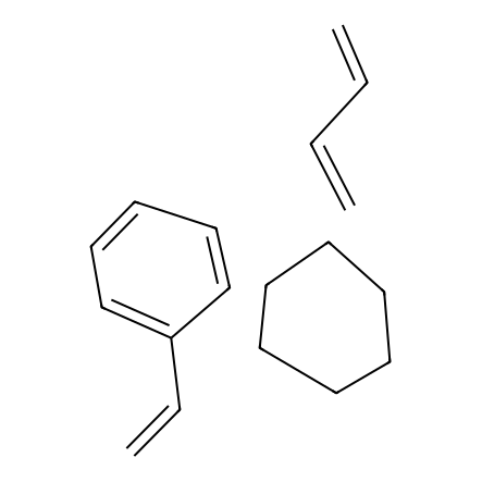 C1CCCCC1.C=CC=C.C=Cc1ccccc1